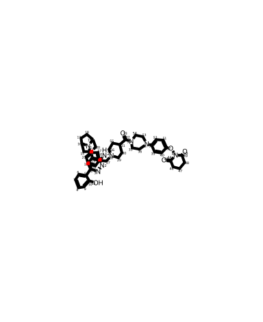 Nc1nnc(-c2ccccc2O)cc1N1CC2CCC(C1)N2c1cccc(CN2CCC(C(=O)N3CCN(c4ccc(ON5C(=O)CCCC5=O)cc4)CC3)CC2)c1